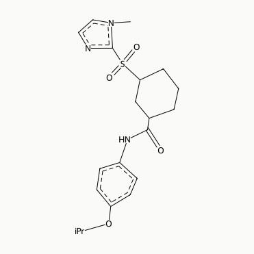 CC(C)Oc1ccc(NC(=O)C2CCCC(S(=O)(=O)c3nccn3C)C2)cc1